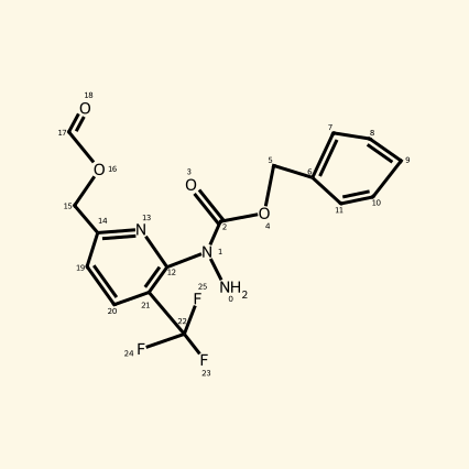 NN(C(=O)OCc1ccccc1)c1nc(COC=O)ccc1C(F)(F)F